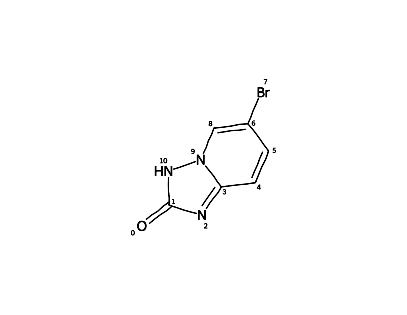 O=c1nc2ccc(Br)cn2[nH]1